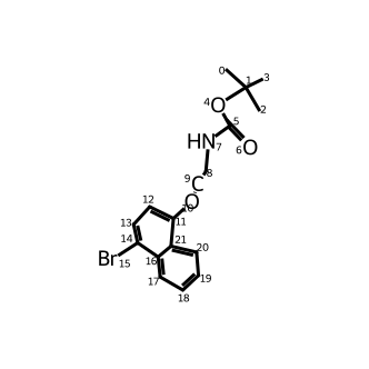 CC(C)(C)OC(=O)NCCOc1ccc(Br)c2ccccc12